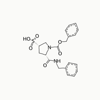 O=C(NCc1ccccc1)[C@@H]1C[C@H](S(=O)(=O)O)CN1C(=O)OCc1ccccc1